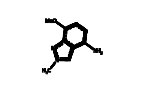 COc1ccc(N)c2cn(C)nc12